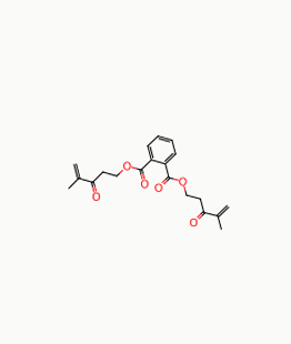 C=C(C)C(=O)CCOC(=O)c1ccccc1C(=O)OCCC(=O)C(=C)C